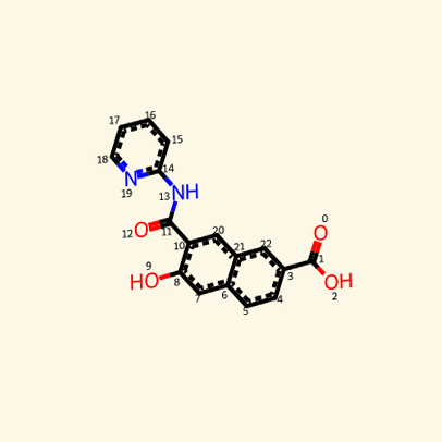 O=C(O)c1ccc2cc(O)c(C(=O)Nc3ccccn3)cc2c1